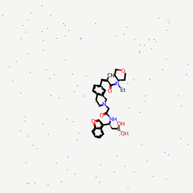 CCN(C(=O)C(C#N)=Cc1ccc2c(c1)CN(CC(=O)N[C@@H](CB(O)O)c1coc3ccccc13)CC2)C1CCOCC1